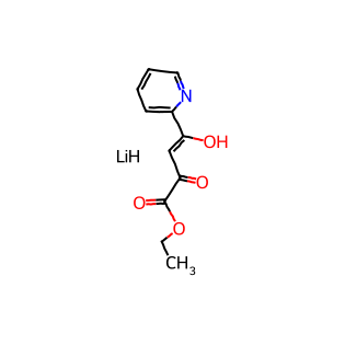 CCOC(=O)C(=O)C=C(O)c1ccccn1.[LiH]